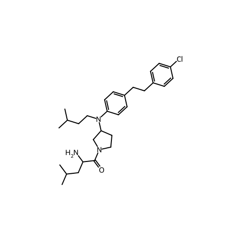 CC(C)CCN(c1ccc(CCc2ccc(Cl)cc2)cc1)C1CCN(C(=O)C(N)CC(C)C)C1